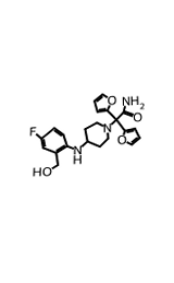 NC(=O)C(c1ccco1)(c1ccco1)N1CCC(Nc2ccc(F)cc2CO)CC1